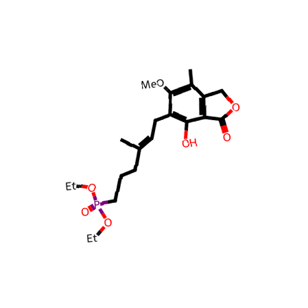 CCOP(=O)(CCC/C(C)=C/Cc1c(O)c2c(c(C)c1OC)COC2=O)OCC